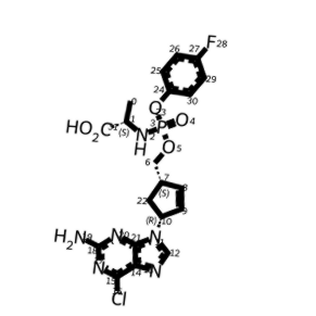 C[C@H](NP(=O)(OC[C@@H]1C=C[C@H](n2cnc3c(Cl)nc(N)nc32)C1)Oc1ccc(F)cc1)C(=O)O